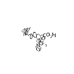 O=C(O)C[C@@H]1Cc2ccc(OCCc3cn4c(n3)NCCC4)cc2C(CCN2CCOCC2)N(CC(F)(F)F)C1=O